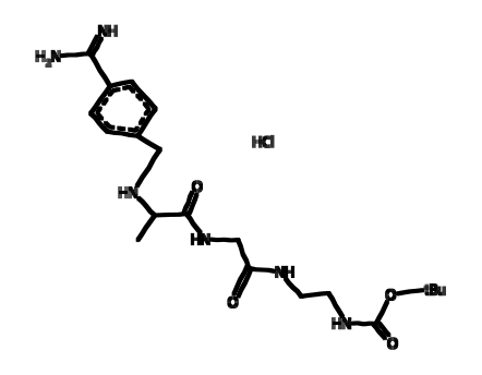 CC(NCc1ccc(C(=N)N)cc1)C(=O)NCC(=O)NCCNC(=O)OC(C)(C)C.Cl